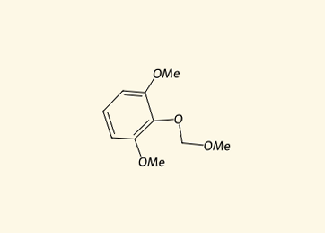 COCOc1c(OC)cccc1OC